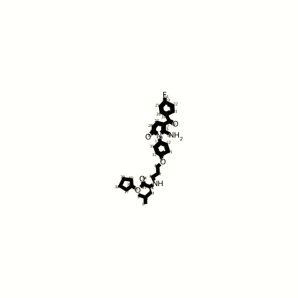 CC(C)C[C@H](NCCCOc1ccc(-n2c(N)c(C(=O)c3ccc(F)cc3)ccc2=O)cc1)C(=O)OC1CCCC1